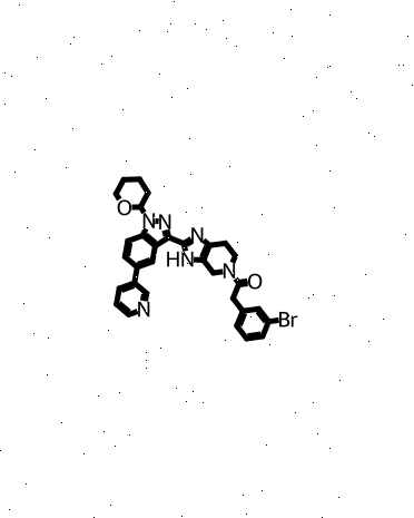 O=C(Cc1cccc(Br)c1)N1CCc2nc(-c3nn(C4CCCCO4)c4ccc(-c5cccnc5)cc34)[nH]c2C1